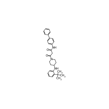 CC(C)(C)c1ccccc1NC1CCN(C(=O)CC(=O)Nc2ccc(-c3ccccc3)cc2)CC1